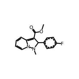 COC(=O)C1=C2C=CC=CN2N(C)C1c1ccc(F)cc1